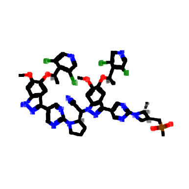 COc1cc2[nH]nc(-c3cnc(N4CCC[C@@H]4C(C#N)n4nc(-c5cnc(N6C[C@H](CS(C)(=O)=O)[C@H]6C)nc5)c5cc(O[C@H](C)c6c(Cl)cncc6Cl)c(OC)cc54)nc3)c2cc1O[C@H](C)c1c(Cl)cncc1Cl